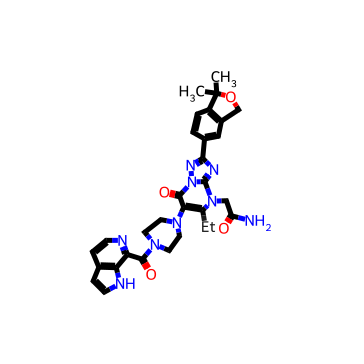 CCc1c(N2CCN(C(=O)c3nccc4cc[nH]c34)CC2)c(=O)n2nc(-c3ccc4c(c3)COC4(C)C)nc2n1CC(N)=O